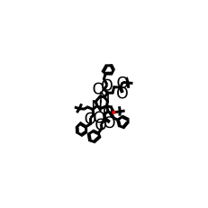 CC(C)(C)CCC(C(=O)OCc1ccccc1)N1CCN(C(CCC(=O)OC(C)(C)C)C(=O)OCc2ccccc2)CC(CCC(C)(C)C)(N(CCc2ccccc2)CC(=O)OCc2ccccc2)C1